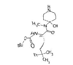 CCC(C)(C)CC[C@H](NC(=O)OC(C)(C)C)C(=O)N(C)C1(C#N)CCNCC1